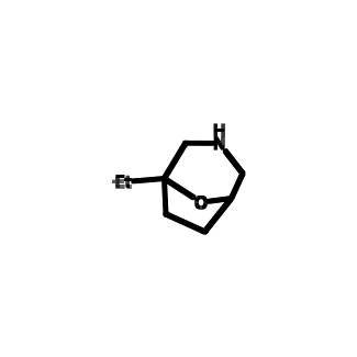 C[CH]C12CCC(CNC1)O2